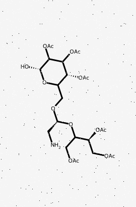 CC(=O)OCC(O[C@@H](CN)OCC1O[C@H](O)C(OC(C)=O)C(OC(C)=O)[C@@H]1OC(C)=O)[C@H](COC(C)=O)OC(C)=O